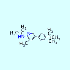 C=C(C)Nc1ncc(-c2ccc(C(C)(C)C)cc2)cc1C